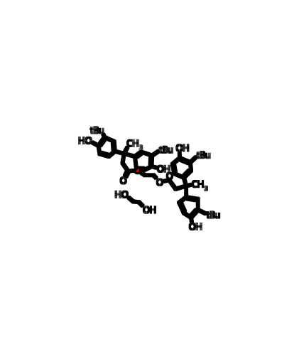 CC(C)(C)c1cc(C(C)(CC(=O)OCCOC(=O)CC(C)(c2ccc(O)c(C(C)(C)C)c2)c2ccc(O)c(C(C)(C)C)c2)c2ccc(O)c(C(C)(C)C)c2)ccc1O.OCCO